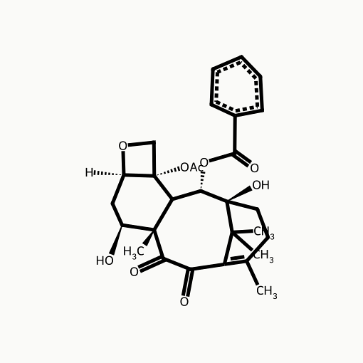 CC(=O)O[C@@]12CO[C@@H]1C[C@H](O)[C@@]1(C)C(=O)C(=O)C3=C(C)CC[C@@](O)([C@@H](OC(=O)c4ccccc4)C12)C3(C)C